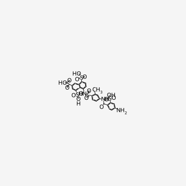 Cc1cc(NC(=O)c2ccc(N)cc2S(=O)(=O)O)ccc1S(=O)(=O)Nc1ccc(S(=O)(=O)O)c2cc(S(=O)(=O)O)cc(S(=O)(=O)O)c12